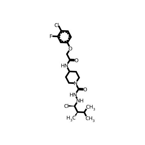 CC(C)[C@@H](C)[C@@H](Cl)NNC(=O)N1CCC(NC(=O)COc2ccc(Cl)c(F)c2)CC1